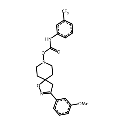 COc1cccc(C2=NOC3(CCN(OC(=O)Nc4cccc(C(F)(F)F)c4)CC3)C2)c1